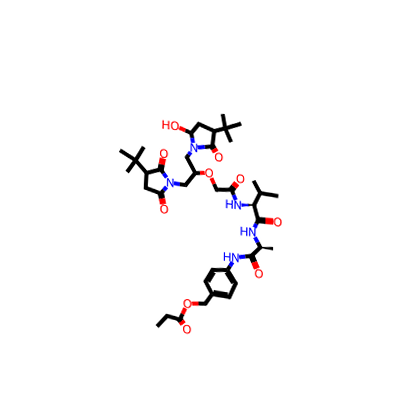 CCC(=O)OCc1ccc(NC(=O)[C@H](C)NC(=O)[C@@H](NC(=O)COC(CN2C(=O)CC(C(C)(C)C)C2=O)CN2C(=O)C(C(C)(C)C)CC2O)C(C)C)cc1